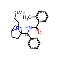 COCCN1C2CCC1([C@@H](NC(=O)c1ccccc1C)c1ccccc1)CC2